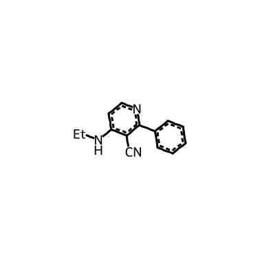 CCNc1ccnc(-c2ccccc2)c1C#N